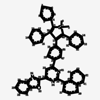 C[Si]1(C)C(c2ccccc2)=C(c2ccccc2)C(c2ccc(-c3cc(-c4nc5ccccc5o4)nc(-c4cccc5ccccc45)n3)cc2)=C1c1ccccc1